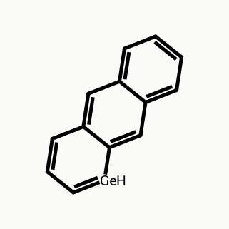 C1=Cc2cc3ccccc3c[c]2[GeH]=[CH]1